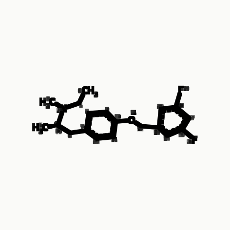 CCN(C)[C@H](C)Cc1ccc(OCc2cc(F)cc(F)c2)cc1